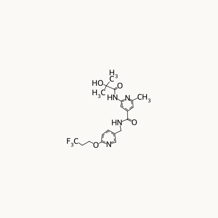 Cc1cc(C(=O)NCc2ccc(OCCC(F)(F)F)nc2)cc(NC(=O)C(C)(C)O)n1